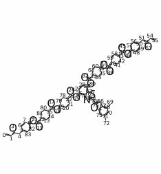 C=CC(=O)Cc1ccc(OC(=O)C2CCC(C(=O)OC3CCC(C(=O)Oc4ccc(OC(=O)C5CCC(OC(=O)C6CCC(C(=O)Oc7ccc(CC(=O)C=C)cc7)CC6)CC5)c5sc(-c6cc7c(C)cc(C)cc7o6)nc45)CC3)CC2)cc1